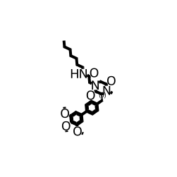 CCCCCCCNC(=O)CN1CC(=O)N(C)[C@@H](Cc2ccc(-c3cc(OC)c(OC)c(OC)c3)cc2)C1=O